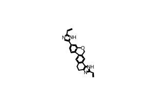 C=Cc1ncc(-c2ccc3c(c2)OCc2cc4c(cc2-3)CCc2nc(C=C)[nH]c2-4)[nH]1